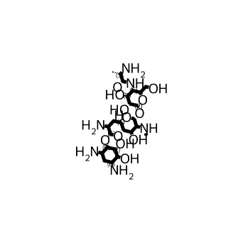 CNC1C(O[C@H]2OC(CO)[C@@H](NC(=O)[C@H](C)N)[C@@H](O)C2O)O[C@H]2CC(N)[C@@H](O[C@@H]3C(N)C[C@@H](N)C(O)[C@H]3O)OC2C1O